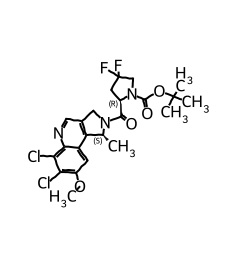 COc1cc2c3c(cnc2c(Cl)c1Cl)CN(C(=O)[C@H]1CC(F)(F)CN1C(=O)OC(C)(C)C)[C@H]3C